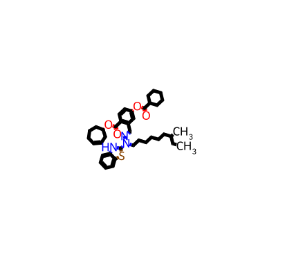 CCC(C)CCCCCCN(/N=C/c1cc(OC(=O)C2CCCCC2)ccc1C(=O)O[C@H]1CC=CCCC1)C1Nc2ccccc2S1